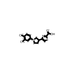 O=C(O)c1nc(C2CCN(c3ccc(Cl)c(Cl)c3)C2)cs1